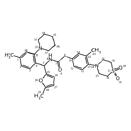 Cc1ccc(C(NC(=O)Cc2ccc(N3CCS(=O)(=O)CC3)c(C)c2)c2ccc(C)o2)c(N2CCCCC2)c1